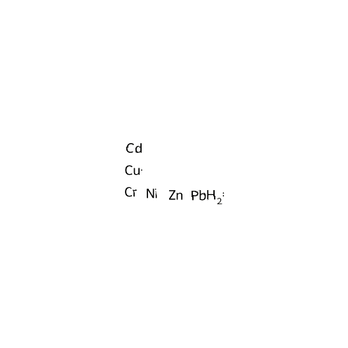 [Cd].[Cr].[Cu].[Ni].[PbH2].[Zn]